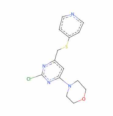 Clc1nc(CSc2ccncc2)cc(N2CCOCC2)n1